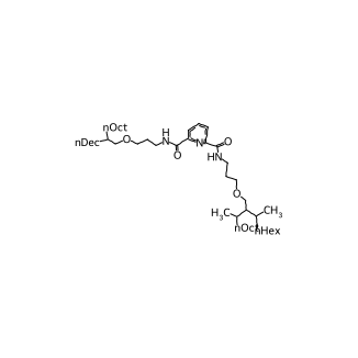 CCCCCCCCCCC(CCCCCCCC)COCCCNC(=O)c1cccc(C(=O)NCCCOCC(C(C)CCCCCC)C(C)CCCCCCCC)n1